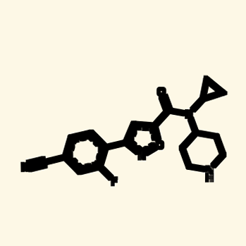 N#Cc1ccc(-c2cc(C(=O)N(C3CCNCC3)C3CC3)on2)c(F)c1